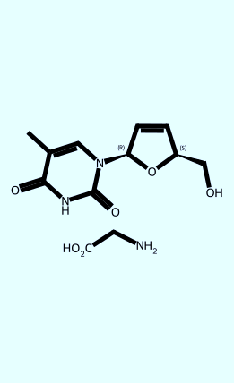 Cc1cn([C@H]2C=C[C@@H](CO)O2)c(=O)[nH]c1=O.NCC(=O)O